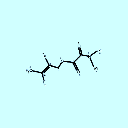 CC(C)N(C(=O)C(=O)OC/C(F)=C(\F)C(F)(F)F)C(C)C